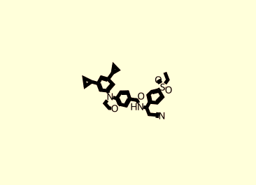 CCS(=O)(=O)c1ccc(C(CC#N)NC(=O)c2ccc3c(c2)OCCN3c2cc(C3CC3)cc(C3CC3)c2)cc1